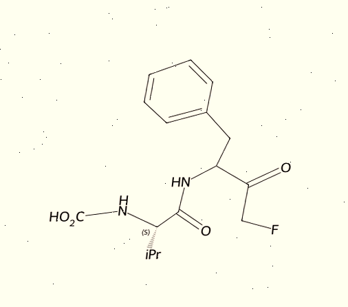 CC(C)[C@H](NC(=O)O)C(=O)NC(Cc1ccccc1)C(=O)CF